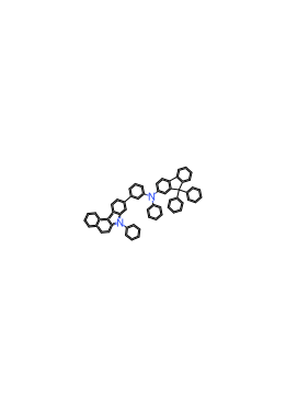 c1ccc(N(c2cccc(-c3ccc4c5c6ccccc6ccc5n(-c5ccccc5)c4c3)c2)c2ccc3c(c2)C(c2ccccc2)(c2ccccc2)c2ccccc2-3)cc1